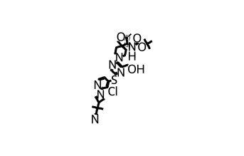 C[C@@H]1OCC2(CCN(c3ncc(Sc4ccnc(N5CC(C(C)(C)C#N)C5)c4Cl)nc3CO)CC2)[C@@H]1NC(=O)OC(C)(C)C